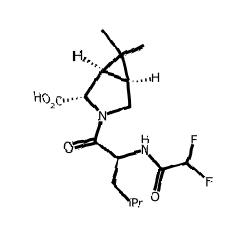 CC(C)C[C@H](NC(=O)C(F)F)C(=O)N1C[C@H]2[C@@H]([C@H]1C(=O)O)C2(C)C